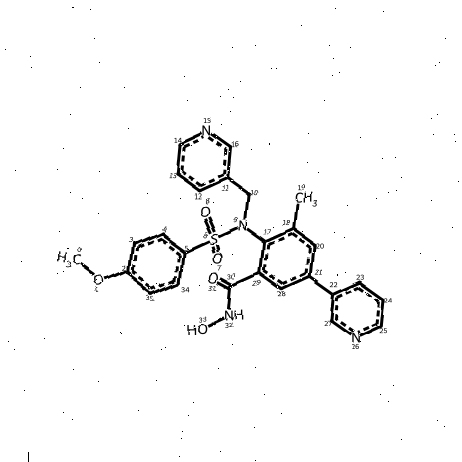 COc1ccc(S(=O)(=O)N(Cc2cccnc2)c2c(C)cc(-c3cccnc3)cc2C(=O)NO)cc1